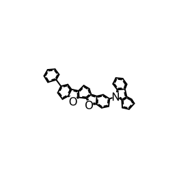 c1ccc(-c2ccc3oc4c(ccc5c6cc(-n7c8ccccc8c8ccccc87)ccc6oc54)c3c2)cc1